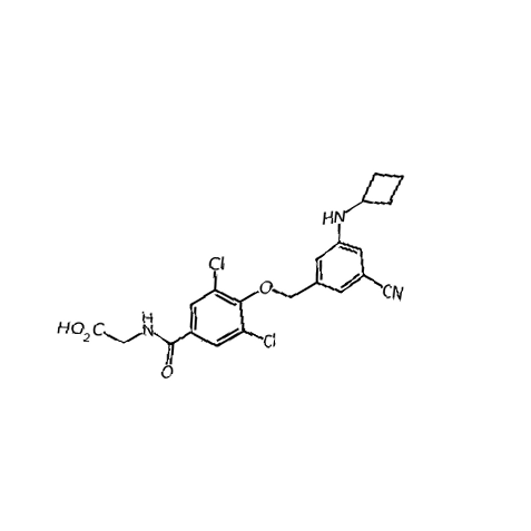 N#Cc1cc(COc2c(Cl)cc(C(=O)NCC(=O)O)cc2Cl)cc(NC2CCC2)c1